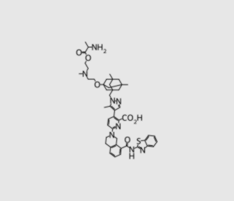 Cc1c(-c2ccc(N3CCc4cccc(C(=O)Nc5nc6ccccc6s5)c4C3)nc2C(=O)O)cnn1CC12CC3(C)CC(C)(C1)CC(OCCN(C)CCOC(=O)C(C)N)(C3)C2